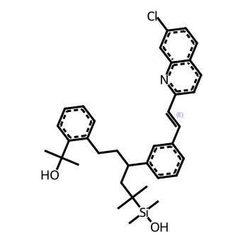 CC(C)(O)c1ccccc1CCC(CC(C)(C)[Si](C)(C)O)c1cccc(/C=C/c2ccc3ccc(Cl)cc3n2)c1